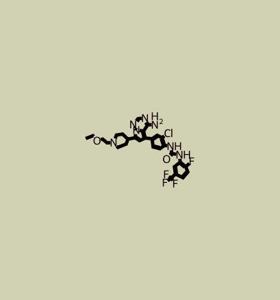 CCOCCN1CCC(c2cc(-c3ccc(NC(=O)Nc4cc(C(F)(F)F)ccc4F)c(Cl)c3)c3c(N)ncnn23)CC1